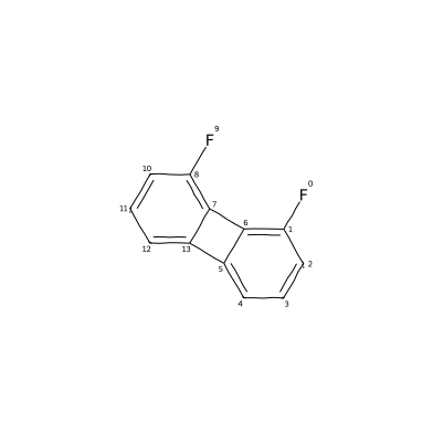 Fc1[c]ccc2c1-c1c(F)c[c]cc1-2